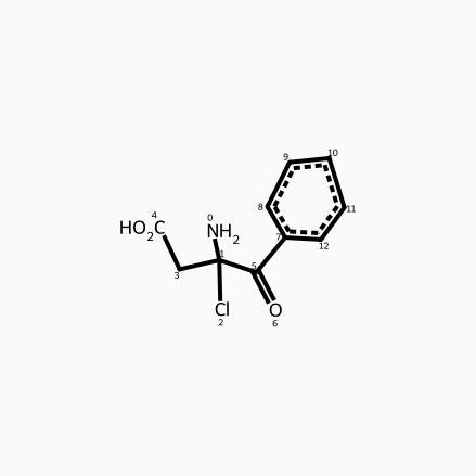 NC(Cl)(CC(=O)O)C(=O)c1ccccc1